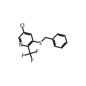 FC(F)(F)c1ncc(Cl)cc1SCc1ccccc1